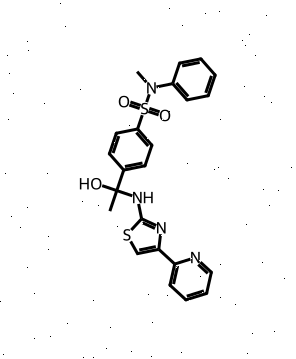 CN(c1ccccc1)S(=O)(=O)c1ccc(C(C)(O)Nc2nc(-c3ccccn3)cs2)cc1